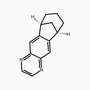 c1cnc2cc3c(cc2n1)[C@@H]1CCC[C@H]3C1